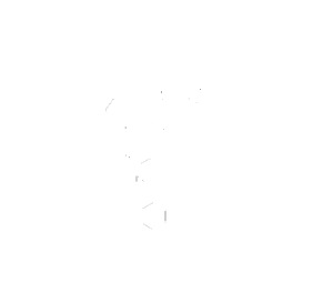 C=C(C)[C@@H]1CC[C@]2(NC(=O)NCc3ccccc3)CC[C@]3(C)[C@H](CC[C@@H]4[C@@]5(C)CC[C@H](O)C(C)(C)[C@@H]5CC[C@]43C)[C@@H]12